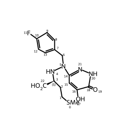 CSCC[C@H](NN(Cc1ccc(F)cc1)c1cc(O)c(=O)[nH]n1)C(=O)O